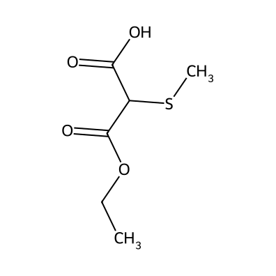 CCOC(=O)C(SC)C(=O)O